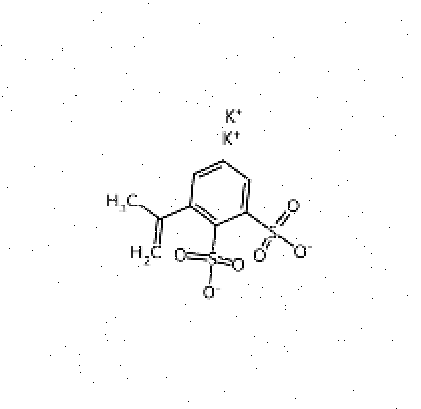 C=C(C)c1cccc(S(=O)(=O)[O-])c1S(=O)(=O)[O-].[K+].[K+]